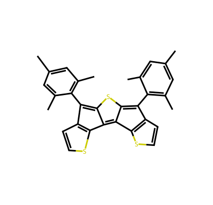 Cc1cc(C)c(C2=c3sc4c(c3-c3sccc32)-c2sccc2C=4c2c(C)cc(C)cc2C)c(C)c1